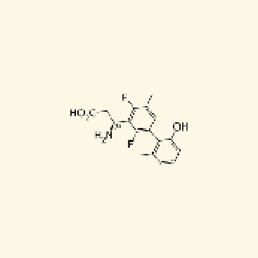 Cc1cc(-c2c(C)cccc2O)c(F)c([C@@H](N)CC(=O)O)c1F